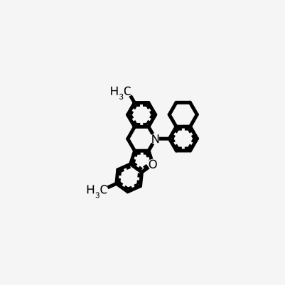 Cc1ccc2c(c1)Cc1c(oc3ccc(C)cc13)N2c1cccc2c1CCCC2